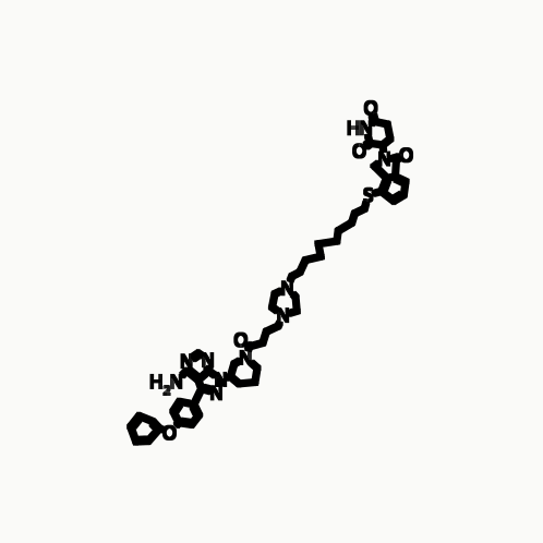 Nc1ncnc2c1c(-c1ccc(Oc3ccccc3)cc1)nn2C1CCCN(C(=O)CCCN2CCN(CCCCCCCCCCSc3cccc4c3CN(C3CCC(=O)NC3=O)C4=O)CC2)C1